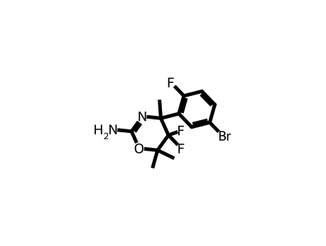 CC1(C)OC(N)=NC(C)(c2cc(Br)ccc2F)C1(F)F